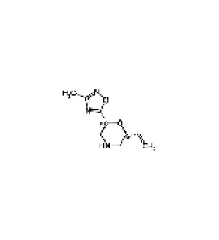 C=C[C@@H]1CNC[C@H](c2nc(C)no2)O1